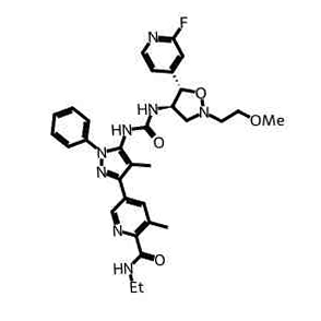 CCNC(=O)c1ncc(-c2nn(-c3ccccc3)c(NC(=O)N[C@@H]3CN(CCOC)O[C@H]3c3ccnc(F)c3)c2C)cc1C